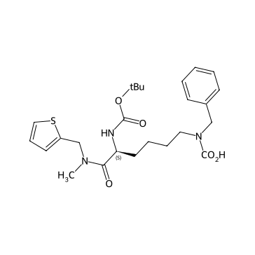 CN(Cc1cccs1)C(=O)[C@H](CCCCN(Cc1ccccc1)C(=O)O)NC(=O)OC(C)(C)C